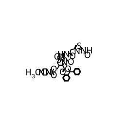 CN1CCN(C(=O)OCC2=C(C(=O)OC(c3ccccc3)c3ccccc3)N3C(=O)C(NC(=O)Cc4csc(NC=O)n4)[C@H]3[S+]([O-])C2)CC1